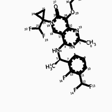 Cc1nc(N[C@H](C)c2cccc(C(F)F)c2F)c2cn(C3(C(F)F)CC3)c(=O)c(OCC(F)(F)F)c2n1